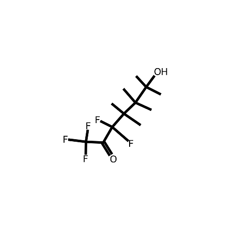 CC(C)(O)C(C)(C)C(C)(C)C(F)(F)C(=O)C(F)(F)F